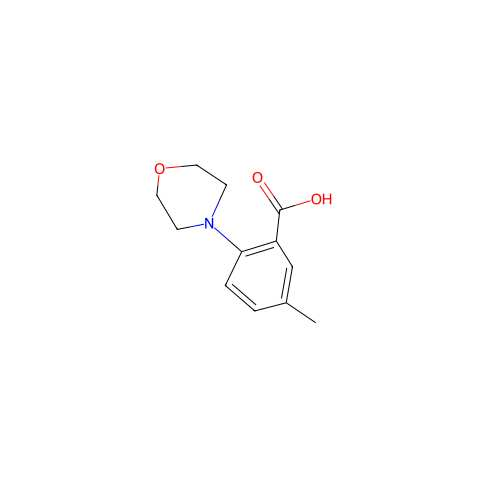 Cc1ccc(N2CCOCC2)c(C(=O)O)c1